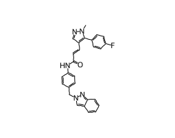 Cn1ncc(C=CC(=O)Nc2ccc(Cn3cc4ccccc4n3)cc2)c1-c1ccc(F)cc1